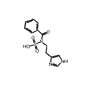 O=C(c1ccccc1)N(CCc1c[nH]cn1)S(=O)(=O)O